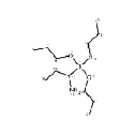 CCC[O][Ti]([O]CCC)([O]CCC)[CH](N)CC